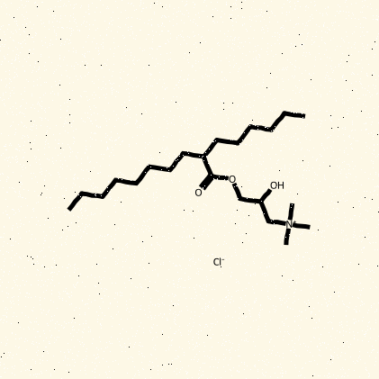 CCCCCCCCC(CCCCCC)C(=O)OCC(O)C[N+](C)(C)C.[Cl-]